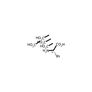 CC(=O)O.CC(=O)O.CC(=O)O.CC(=O)O.CC(C)[C@H](N)C(=O)O